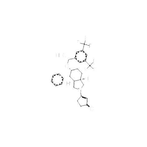 C[C@@H](O[C@H]1CC[C@@H]2CN(C3=CC(=O)CC3)C[C@H]2[C@@H]1c1ccccc1)c1cc(C(F)(F)F)cc(C(F)(F)F)c1